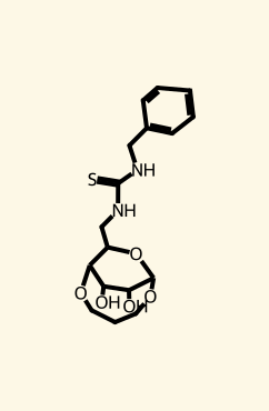 OC1C2OCCCOC(C(CNC(=S)NCc3ccccc3)O2)C1O